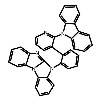 c1ccc(-n2c3ccccc3n3c4ccccc4nc23)c(-c2cccnc2-n2c3ccccc3c3ccccc32)c1